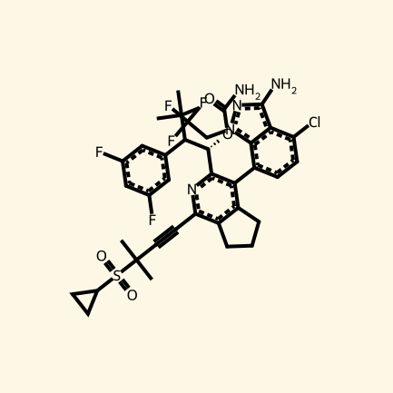 CC(C)(C)C(c1cc(F)cc(F)c1)[C@H](OC(N)=O)c1nc(C#CC(C)(C)S(=O)(=O)C2CC2)c2c(c1-c1ccc(Cl)c3c(N)nn(CC(F)(F)F)c13)CCC2